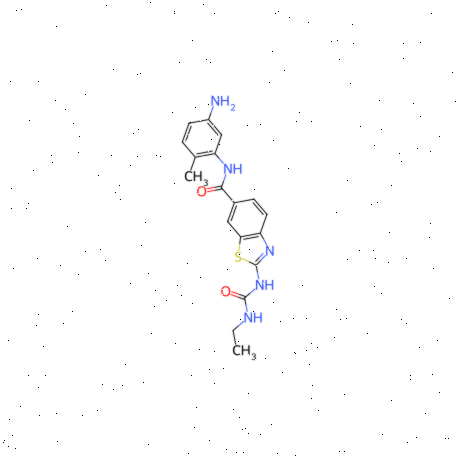 CCNC(=O)Nc1nc2ccc(C(=O)Nc3cc(N)ccc3C)cc2s1